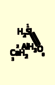 O=[SiH2].[AlH3].[CaH2]